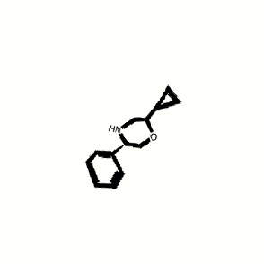 c1ccc([C@@H]2COC(C3CC3)CN2)cc1